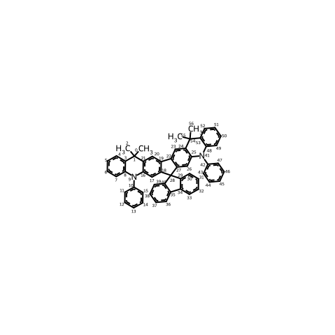 CC1(C)c2ccccc2N(c2ccccc2)c2cc3c(cc21)-c1cc2c(cc1C31c3ccccc3-c3ccccc31)N(c1ccccc1)c1ccccc1C2(C)C